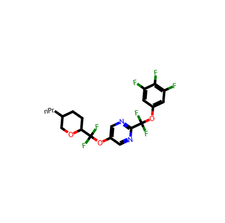 CCCC1CCC(C(F)(F)Oc2cnc(C(F)(F)Oc3cc(F)c(F)c(F)c3)nc2)OC1